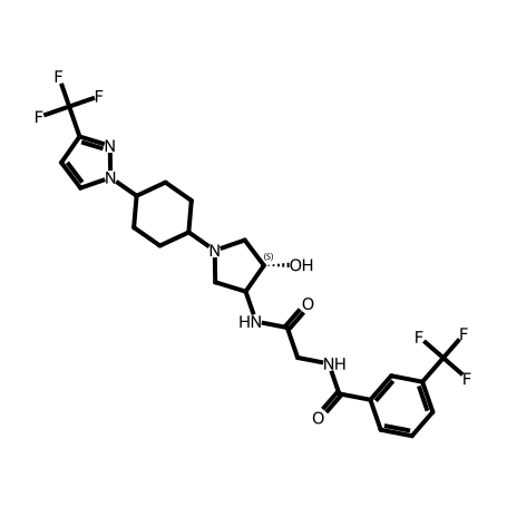 O=C(CNC(=O)c1cccc(C(F)(F)F)c1)NC1CN(C2CCC(n3ccc(C(F)(F)F)n3)CC2)C[C@@H]1O